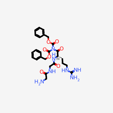 N=C(N)NCCC[C@H](NC(=O)CNC(=O)CN)C(=O)N(C(=O)OCc1ccccc1)C(=O)OCc1ccccc1